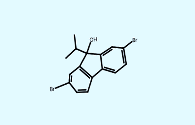 CC(C)C1(O)c2cc(Br)ccc2-c2ccc(Br)cc21